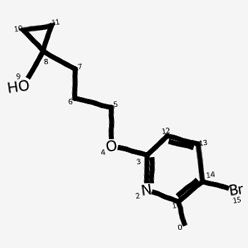 Cc1nc(OCCCC2(O)CC2)ccc1Br